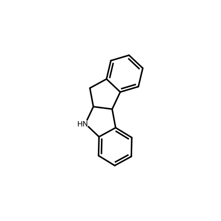 c1ccc2c(c1)CC1Nc3ccccc3C21